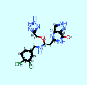 O=c1[nH]c(C[C@@H](NCc2ccc(Cl)c(Cl)c2)OCc2nn[nH]n2)nc2c[nH]nc12